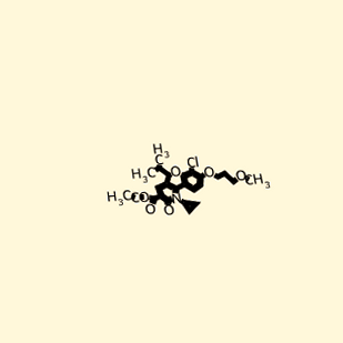 CCOC(=O)c1cc2c(n(C3CC3)c1=O)-c1ccc(OCCCOC)c(Cl)c1OC2C(C)C